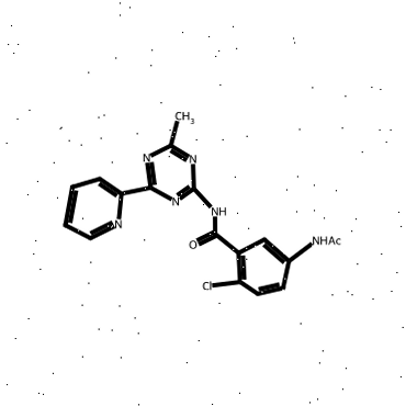 CC(=O)Nc1ccc(Cl)c(C(=O)Nc2nc(C)nc(-c3ccccn3)n2)c1